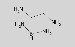 NBN.NCCN